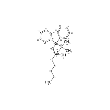 CCCCCC(O)O[Si](c1ccccc1)(c1ccccc1)C(C)(C)C